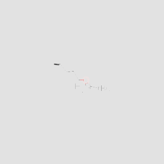 C=CCCCO[SiH2]C(C)(C)C